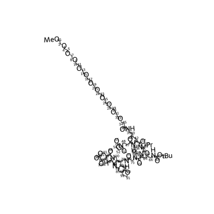 COCCOCCOCCOCCOCCOCCOCCOCCOCCOCCOCCOCCC(=O)NCCCC[C@H](NC(=O)CCN1C(=O)C=CC1=O)C(=O)N[C@H](C(=O)N[C@@H](CCCNC(=O)OC(C)(C)C)C(=O)NCC(=O)NCc1c2c(nc3cc4c(cc13)OCC4)-c1cc3c(c(=O)n1C2)COC(=O)[C@H]3O)C(C)C